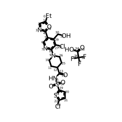 CCc1cnc(-c2cnc(N3CCC(C(=O)NS(=O)(=O)c4ccc(Cl)s4)CC3)c(Cl)c2CO)o1.O=C(O)C(F)(F)F